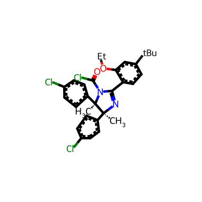 CCOc1cc(C(C)(C)C)ccc1C1=N[C@@](C)(c2ccc(Cl)cc2)[C@@](C)(c2ccc(Cl)cc2)N1C(=O)Cl